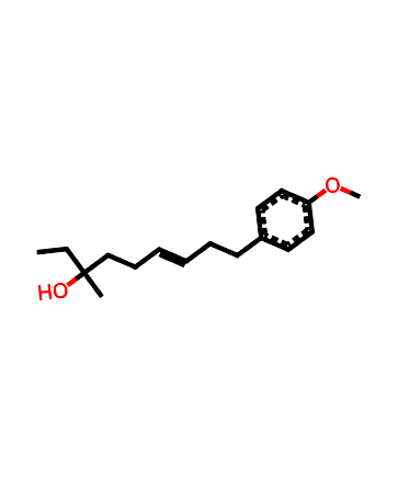 CCC(C)(O)CC/C=C/CCc1ccc(OC)cc1